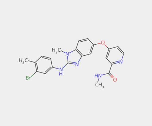 CNC(=O)c1cc(Oc2ccc3c(c2)nc(Nc2ccc(C)c(Br)c2)n3C)ccn1